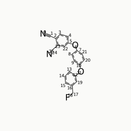 N#Cc1ccc(Oc2ccc(Oc3cccc(CF)c3)cc2)cc1C#N